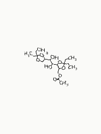 CCC1(CC)OCC(C(O)C(O)C2OC(CC)(CC)OC2COC(C)=O)O1